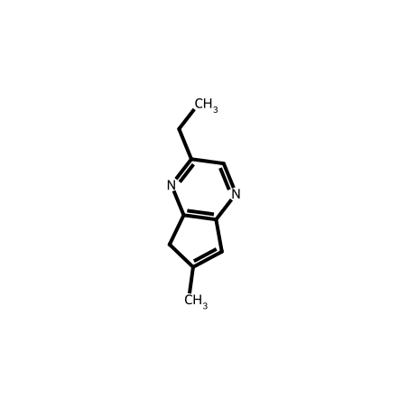 CCc1cnc2c(n1)CC(C)=C2